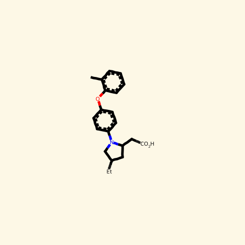 CCC1CC(CC(=O)O)N(c2ccc(Oc3ccccc3C)cc2)C1